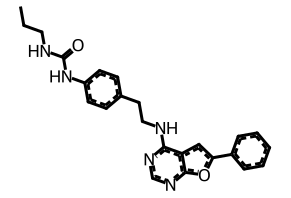 CCCNC(=O)Nc1ccc(CCNc2ncnc3oc(-c4ccccc4)cc23)cc1